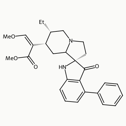 CC[C@@H]1CN2CC[C@]3(Nc4cccc(-c5ccccc5)c4C3=O)C2C[C@@H]1/C(=C/OC)C(=O)OC